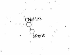 CCCCCCC1CC(C2CCC(CCCCC)CC2)CCC1C#N